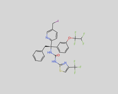 O=C(Nc1nc(C(F)(F)F)cs1)N[C@@](Cc1ccccc1)(c1cccc(OC(F)(F)C(F)F)c1)c1ccc(CI)cn1